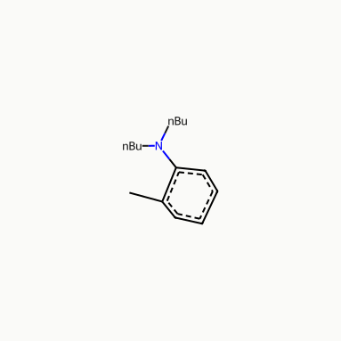 CCCCN(CCCC)c1ccccc1C